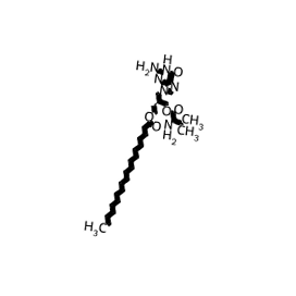 CCCCCCCCCCCCCCCCCCCC(=O)OCC[C@@H](COC(=O)[C@@H](N)C(C)C)Cn1cnc2c(=O)[nH]c(N)nc21